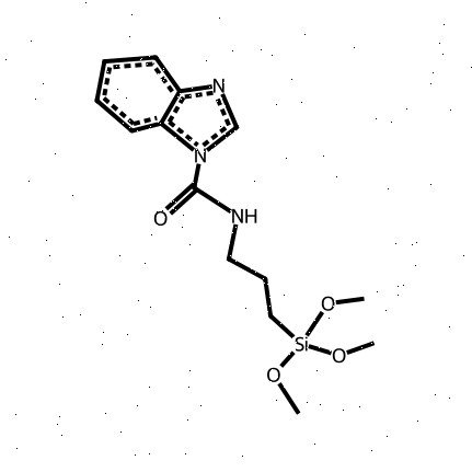 CO[Si](CCCNC(=O)n1cnc2ccccc21)(OC)OC